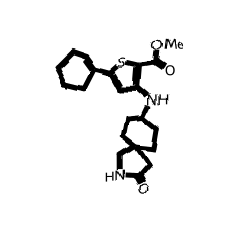 COC(=O)c1sc(C2=CCCCC2)cc1NC1CCC2(CC1)CNC(=O)C2